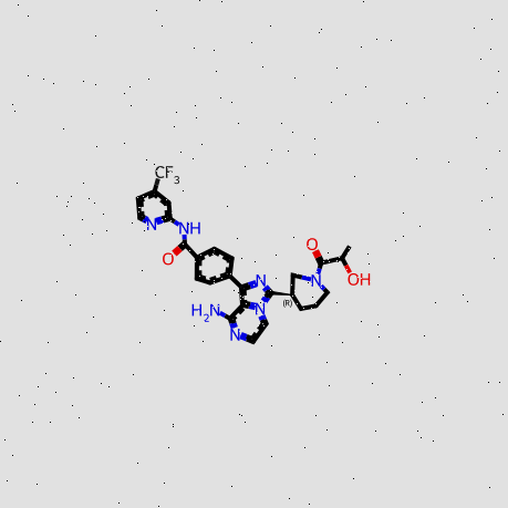 CC(O)C(=O)N1CCC[C@@H](c2nc(-c3ccc(C(=O)Nc4cc(C(F)(F)F)ccn4)cc3)c3c(N)nccn23)C1